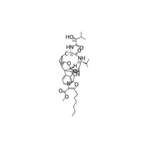 CCCCCCc1oc(-c2nc3oc2C24c5ccccc5N[C@H]2Oc2ccc(cc24)C[C@H](NC(=O)[C@@H](O)C(C)C)C(=O)N[C@H]3C(C)C)nc1C(=O)OC